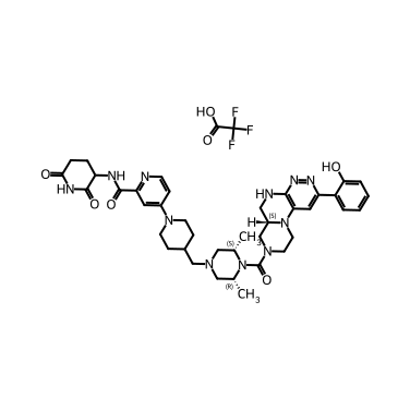 C[C@@H]1CN(CC2CCN(c3ccnc(C(=O)NC4CCC(=O)NC4=O)c3)CC2)C[C@H](C)N1C(=O)N1CCN2c3cc(-c4ccccc4O)nnc3NC[C@H]2C1.O=C(O)C(F)(F)F